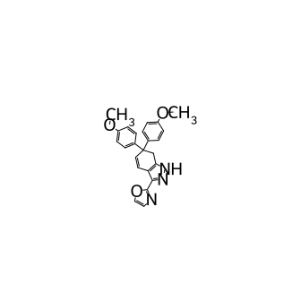 COc1ccc(C2(c3ccc(OC)cc3)C=Cc3c(-c4ncco4)n[nH]c3C2)cc1